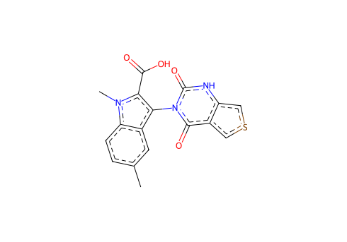 Cc1ccc2c(c1)c(-n1c(=O)[nH]c3cscc3c1=O)c(C(=O)O)n2C